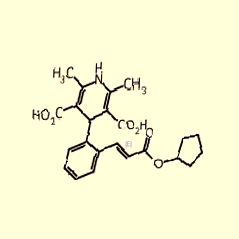 CC1=C(C(=O)O)C(c2ccccc2/C=C/C(=O)OC2CCCC2)C(C(=O)O)=C(C)N1